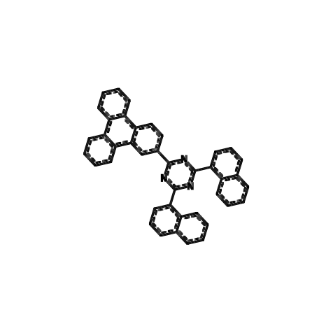 c1ccc2c(-c3nc(-c4ccc5c6ccccc6c6ccccc6c5c4)nc(-c4cccc5ccccc45)n3)cccc2c1